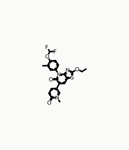 CCOc1nc2c(cc(-c3ccc(=O)n(C)c3)c(=O)n2-c2ccc(OC(F)F)c(C)c2)s1